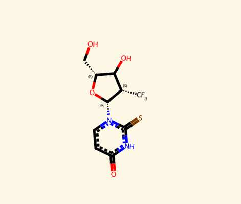 O=c1ccn([C@@H]2O[C@H](CO)C(O)[C@@H]2C(F)(F)F)c(=S)[nH]1